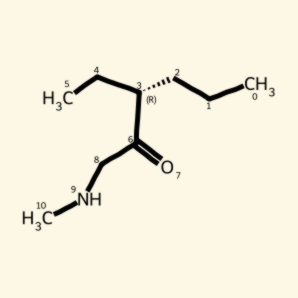 CCC[C@@H](CC)C(=O)CNC